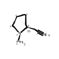 N#C[C@@H]1CCCN1P